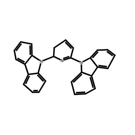 C1=CC(n2c3ccccc3c3ccccc32)=NC(n2c3ccccc3c3ccccc32)C1